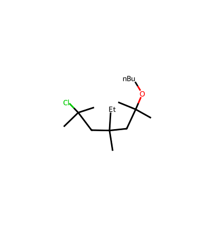 CCCCOC(C)(C)CC(C)(CC)CC(C)(C)Cl